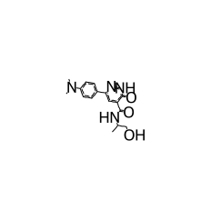 CC(CO)NC(=O)c1cc(-c2ccc(N(C)C)cc2)n[nH]c1=O